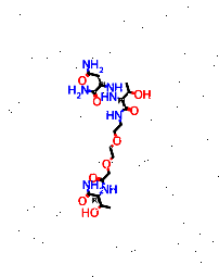 CC(O)[C@@H](NC(=O)COCCOCCNC(=O)[C@H](NN[C@H](CC(N)=O)C(N)=O)C(C)O)C(N)=O